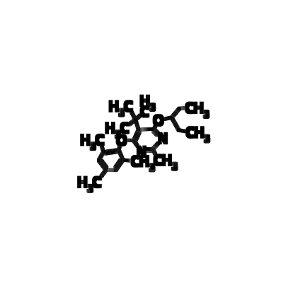 CCC(CC)Oc1nc(C)nc(Oc2c(C)cc(C)cc2C)c1C(C)(C)C